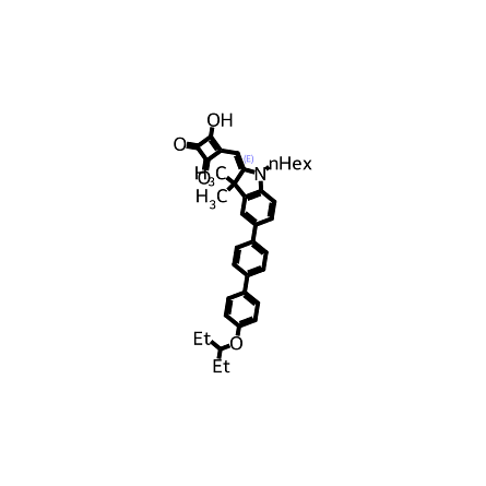 CCCCCCN1/C(=C/c2c(O)c(=O)c2=O)C(C)(C)c2cc(-c3ccc(-c4ccc(OC(CC)CC)cc4)cc3)ccc21